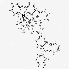 c1ccc(-n2c3ccccc3c3cc(-c4ccc([Si](c5ccccc5)(c5ccccc5)c5cccc6c7ccccc7n(-c7ccccc7)c56)cc4)ccc32)cc1